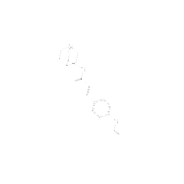 O=CNc1ccc(C=CC(=O)NC2CN3CCC2CC3)cc1